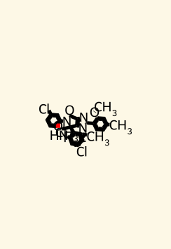 COc1cc(C)ccc1-c1nc2c(n1C(C)C)C1(C(=O)Nc3cc(Cl)ccc31)N(c1cc(Cl)ccc1C)C2=O